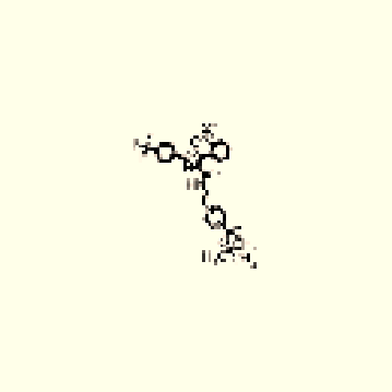 CC(C)(C)OC(=O)N1CCN(CCNC(=O)c2nc(-c3ccc(C(F)(F)F)cc3)oc2-c2ccccc2[N+](=O)[O-])CC1